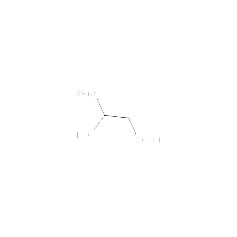 CCCC(C)C(C)CC(=O)OCC